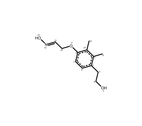 Cc1c(CCO)ccc(OCC=NO)c1C